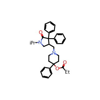 CCC(=O)OC1(c2ccccc2)CCN(CC2CN(C(C)C)C(=O)C2(c2ccccc2)c2ccccc2)CC1